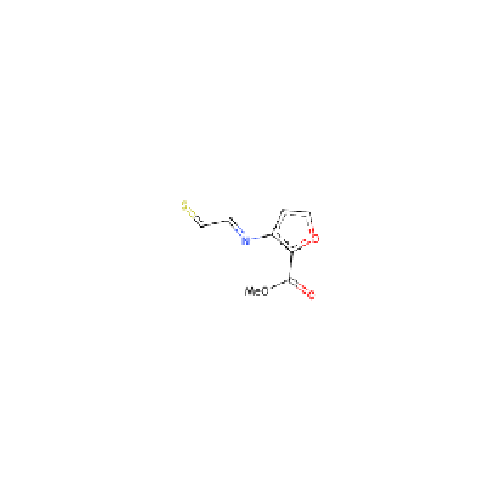 COC(=O)c1occc1N=CC=S